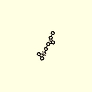 c1ccc(-c2ccc3c(c2)c2cccc4c5cc(-c6ccc(-c7cnc8c9ccccc9c9ccccc9c8n7)cc6)ccc5n3c24)cc1